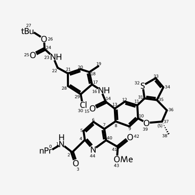 CCCNC(=O)c1ccc(-c2cc3c(cc2C(=O)Nc2c(C)cc(CNC(=O)OC(C)(C)C)cc2Cl)-c2sccc2C[C@H](C)O3)c(C(=O)OC)n1